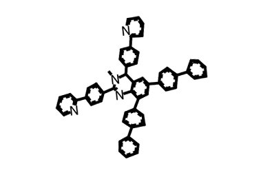 CN1C(c2ccc(-c3ccccn3)cc2)=Nc2c(-c3ccc(-c4ccccc4)cc3)cc(-c3ccc(-c4ccccc4)cc3)cc2C1c1ccc(-c2ccccn2)cc1